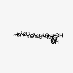 CCOCCOCCOCCOOCCOOCC(CO)(CO)OC